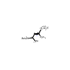 CNC(/C=C(\C)C(=O)O)C(C)C